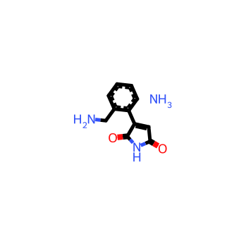 N.NCc1ccccc1C1=CC(=O)NC1=O